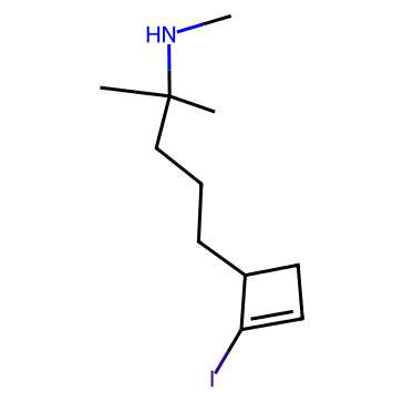 CNC(C)(C)CCCC1CC=C1I